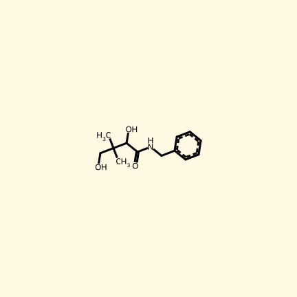 CC(C)(CO)C(O)C(=O)NCc1ccccc1